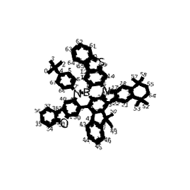 CC(C)(C)c1ccc(N2B3c4cc5c(cc4-n4c6cc7c(cc6c6c8c(c(c3c64)-c3cc4oc6ccccc6c4cc32)-c2ccccc2C8(C)C)C(C)(C)CCC7(C)C)sc2ccccc25)cc1